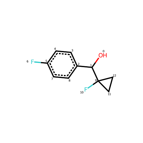 OC(c1ccc(F)cc1)C1(F)CC1